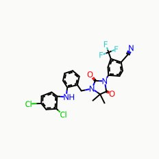 CC1(C)C(=O)N(c2ccc(C#N)c(C(F)(F)F)c2)C(=O)N1Cc1ccccc1Nc1ccc(Cl)cc1Cl